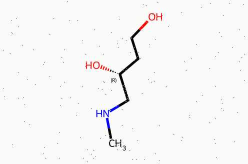 CNC[C@H](O)CCO